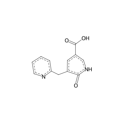 O=C(O)c1c[nH]c(=O)c(Cc2ccccn2)c1